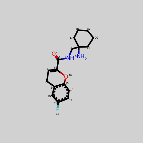 NC1(CNC(=O)C2=CCc3cc(F)ccc3O2)CCCCC1